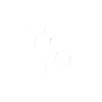 CC(C(=O)Oc1ccccc1N(C)C=O)N(C)C